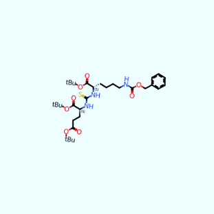 CC(C)(C)OC(=O)CC[C@H](NC(=S)N[C@@H](CCCCNC(=O)OCc1ccccc1)C(=O)OC(C)(C)C)C(=O)OC(C)(C)C